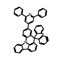 Fc1ccccc1C1(c2cc#ccc2)c2cc(-c3cc(-c4ccccc4)nc(-c4ccccc4)c3)ccc2-n2c3ccccc3c3cccc1c32